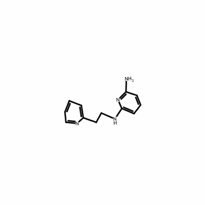 Nc1cccc(NCCc2ccccn2)n1